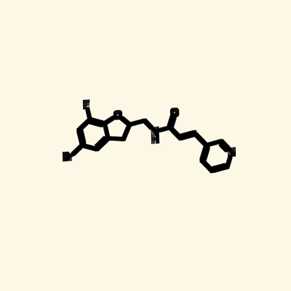 O=C(C=Cc1cccnc1)NCC1Cc2cc(Br)cc(F)c2O1